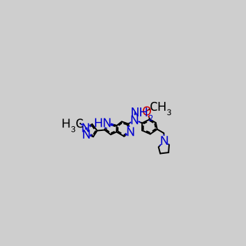 COc1cc(CN2CCCC2)ccc1N(N)c1cc2[nH]c(-c3cnn(C)c3)cc2cn1